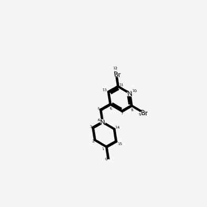 CC1CCN(Cc2cc(Br)nc(Br)c2)CC1